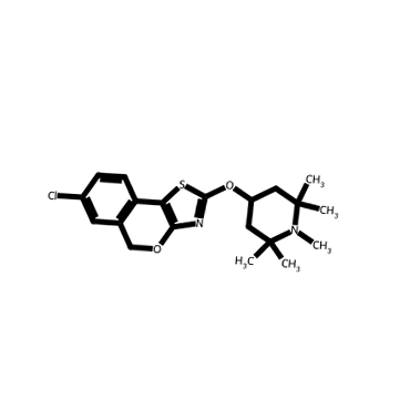 CN1C(C)(C)CC(Oc2nc3c(s2)-c2ccc(Cl)cc2CO3)CC1(C)C